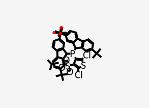 CC(C)COS(=O)(=O)c1c(Cl)sc(Cl)c1P(C1c2cc(C(C)(C)C)ccc2-c2ccc(C(C)(C)C)cc21)C1c2cc(C(C)(C)C)ccc2-c2ccc(C(C)(C)C)cc21